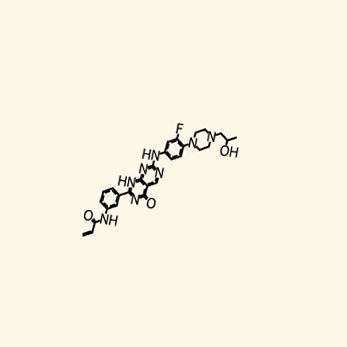 C=CC(=O)Nc1cccc(-c2nc(=O)c3cnc(Nc4ccc(N5CCN(CC(C)O)CC5)c(F)c4)nc3[nH]2)c1